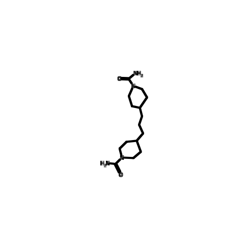 NC(=O)N1CCC(CCCC2CCN(C(N)=O)CC2)CC1